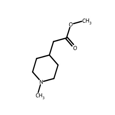 COC(=O)CC1CCN(C)CC1